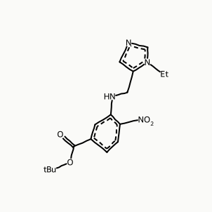 CCn1cncc1CNc1cc(C(=O)OC(C)(C)C)ccc1[N+](=O)[O-]